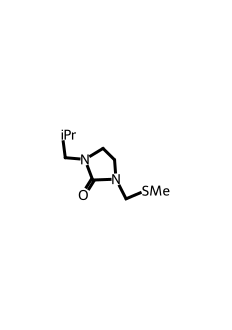 CSCN1CCN(CC(C)C)C1=O